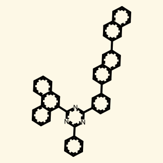 c1ccc(-c2nc(-c3cccc(-c4ccc5cc(-c6ccc7ccccc7c6)ccc5c4)c3)nc(-c3cc4ccccc4c4ccccc34)n2)cc1